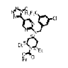 CC[C@@H]1C[C@H](N(Cc2cc(Cl)cc(C(F)(F)F)c2)c2ncc(-c3nnnn3C)cn2)C[C@H](CC)N1C(=O)OC(C)C